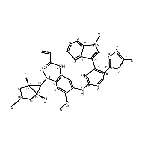 C=CC(=O)Nc1cc(Nc2ncc(-c3nnc(C)o3)c(-c3cn(C)c4ccccc34)n2)c(OC)cc1N(C)C1[C@H]2CN(C)C[C@@H]12